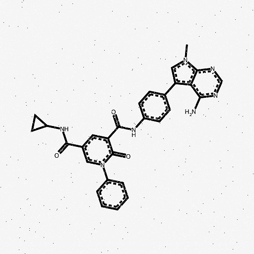 Cn1cc(-c2ccc(NC(=O)c3cc(C(=O)NC4CC4)cn(-c4ccccc4)c3=O)cc2)c2c(N)ncnc21